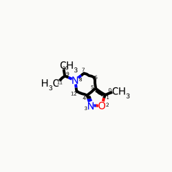 Cc1onc2c1CCN(C(C)C)C2